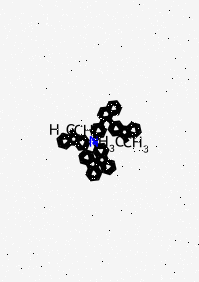 CC1(C)c2ccccc2-c2cc(-c3c(-c4ccc(N(c5ccc6c(c5)C(C)(C)c5ccccc5-6)c5ccc6c(c5)C5(c7ccccc7-c7ccccc75)c5ccccc5-6)cc4)ccc4ccccc34)ccc21